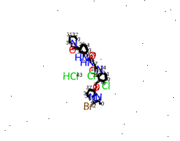 Cc1nc2c(OCc3c(Cl)ccc(N(C)C(=O)CNC(=O)Nc4cccc(C(=O)N5CCCC5)c4)c3Cl)cccn2c1Br.Cl